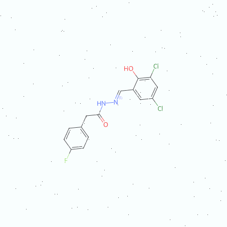 O=C(Cc1ccc(F)cc1)N/N=C/c1cc(Cl)cc(Cl)c1O